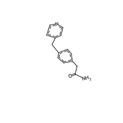 NC(=O)Cc1ccc(Cc2ccncc2)cc1